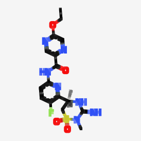 CCOc1cnc(C(=O)Nc2ccc(F)c([C@]3(C)CS(=O)(=O)N(C)C(=N)N3)n2)cn1